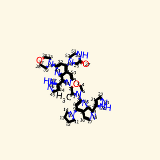 C[C@@H]1COCCN1c1cc(N2CCCC2)c2ccnc(-c3ccn[nH]3)c2n1.O=C1CN(c2cc(N3CCOCC3)nc3c(-c4ccn[nH]4)nccc23)CCN1